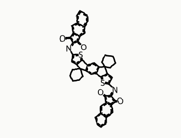 O=c1c(=Nc2cc3c(s2)-c2cc4c(cc2C32CCCCC2)-c2sc(N=c3c(=O)c5cc6ccccc6cc5c3=O)cc2C42CCCCC2)c(=O)c2cc3ccccc3cc12